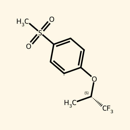 C[C@H](Oc1[c]cc(S(C)(=O)=O)cc1)C(F)(F)F